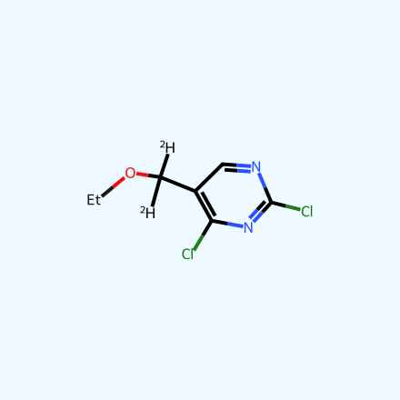 [2H]C([2H])(OCC)c1cnc(Cl)nc1Cl